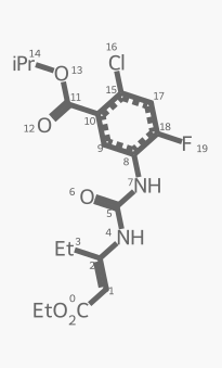 CCOC(=O)/C=C(\CC)NC(=O)Nc1cc(C(=O)OC(C)C)c(Cl)cc1F